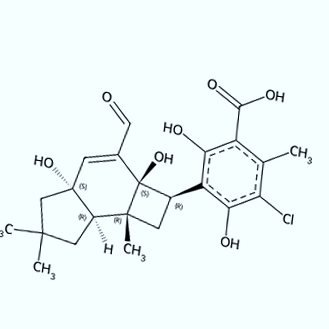 Cc1c(Cl)c(O)c([C@H]2C[C@]3(C)[C@H]4CC(C)(C)C[C@@]4(O)C=C(C=O)[C@]23O)c(O)c1C(=O)O